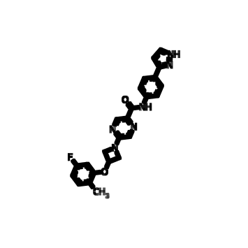 Cc1ccc(F)cc1OC1CN(c2cnc(C(=O)Nc3ccc(-c4cc[nH]n4)cc3)cn2)C1